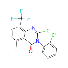 Cc1ccc(C(F)(F)F)c2nc(Cl)n(-c3ccccc3Cl)c(=O)c12